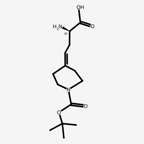 CC(C)(C)OC(=O)N1CCC(=CC[C@@H](N)C(=O)O)CC1